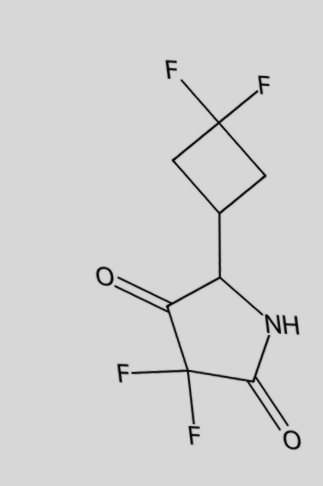 O=C1NC(C2CC(F)(F)C2)C(=O)C1(F)F